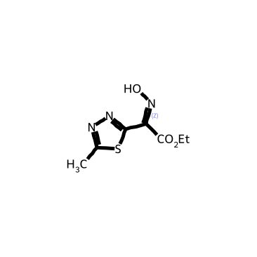 CCOC(=O)/C(=N/O)c1nnc(C)s1